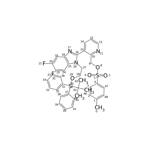 Cc1ccc(S(=O)(=O)OCc2ncccc2-c2nc3cc(F)c(F)cc3n2CCO[Si](c2ccccc2)(c2ccccc2)C(C)(C)C)cc1